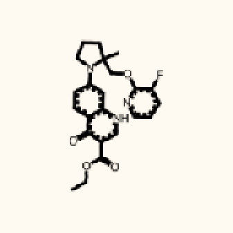 CCOC(=O)c1c[nH]c2cc(N3CCCC3(C)COc3ncccc3F)ccc2c1=O